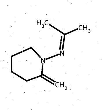 C=C1CCCCN1N=C(C)C